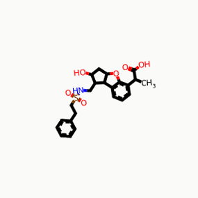 CC(C(=O)O)c1cccc2c1OC1CC(O)C(CNS(=O)(=O)CCc3ccccc3)C21